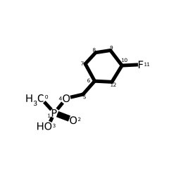 CP(=O)(O)OCC1CCCC(F)C1